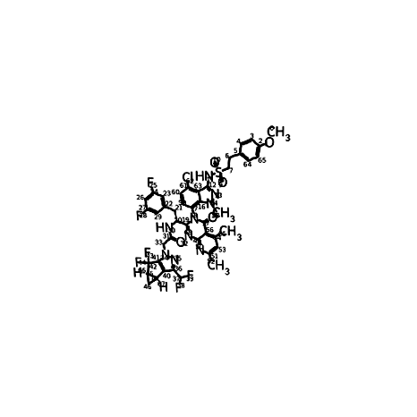 COc1ccc(CCS(=O)(=O)Nc2nn(C)c3c(-n4c([C@H](Cc5cc(F)cc(F)c5)NC(=O)Cn5nc(C(F)F)c6c5C(F)(F)[C@@H]5C[C@H]65)nc5nc(C)cc(C)c5c4=O)ccc(Cl)c23)cc1